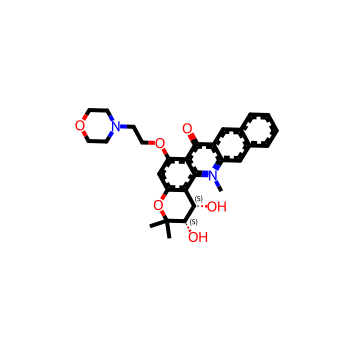 Cn1c2cc3ccccc3cc2c(=O)c2c(OCCN3CCOCC3)cc3c(c21)[C@H](O)[C@H](O)C(C)(C)O3